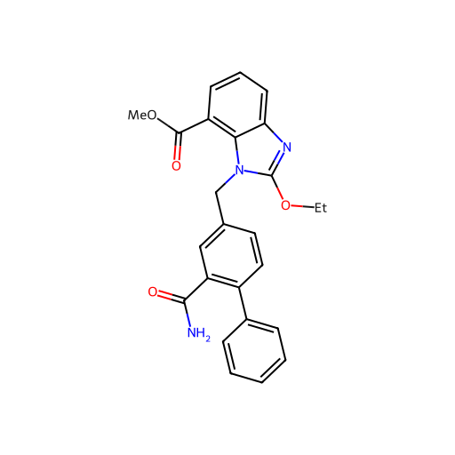 CCOc1nc2cccc(C(=O)OC)c2n1Cc1ccc(-c2ccccc2)c(C(N)=O)c1